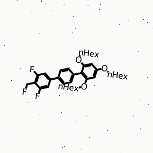 CCCCCCOc1cc(OCCCCCC)c(-c2ccc(-c3cc(F)c(CF)c(F)c3)cc2)c(OCCCCCC)c1